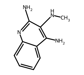 CNc1c(N)nc2ccccc2c1N